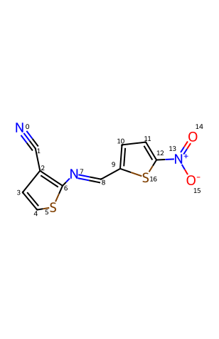 N#Cc1ccsc1N=Cc1ccc([N+](=O)[O-])s1